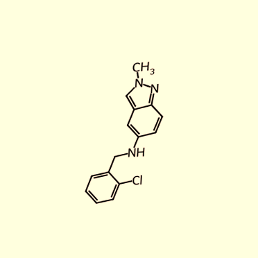 Cn1cc2cc(NCc3ccccc3Cl)ccc2n1